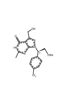 COC[C@@H](c1ccc(C(F)(F)F)cc1)n1nc(CO)c2c(=O)[nH]c(C)nc21